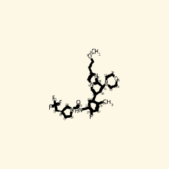 COCCc1cn2cc(-c3cc(NC(=O)N4CC[C@@H](CC(F)(F)F)C4)c(F)cc3C)cc(N3CCOCC3)c2n1